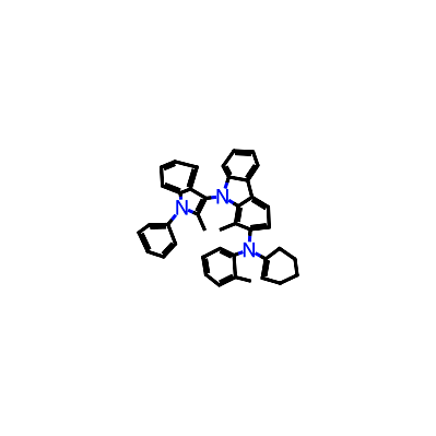 Cc1ccccc1N(C1=CCCCC1)c1ccc2c3ccccc3n(-c3c(C)n(-c4ccccc4)c4ccccc34)c2c1C